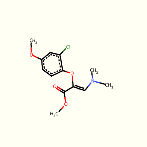 COC(=O)/C(=C/N(C)C)Oc1ccc(OC)cc1Cl